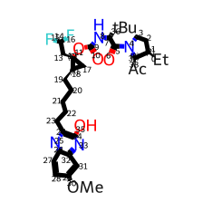 CC[C@@H]1CCN(C(=O)C(NC(=O)O[C@]2(CC(F)F)C[C@H]2CCCCCc2nc3ccc(OC)cc3nc2O)C(C)(C)C)[C@@H]1C(C)=O